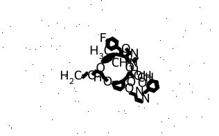 C=CCOC[C@@H]1COc2ccc(OCc3ccnc(-c4ccccc4OC)n3)c(c2)C[C@H](C(=O)O)Oc2ncnc3oc(-c4ccc(F)cc4)c(c23)-c2c(C)cc(cc2C)O1